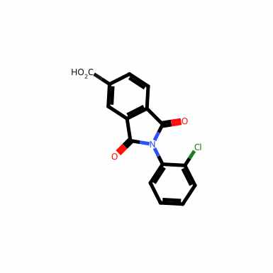 O=C(O)c1ccc2c(c1)C(=O)N(c1ccccc1Cl)C2=O